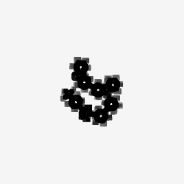 CC(C)(C)c1ccc(-c2nc(-c3cccc(-c4cccc(-n5c6ccccc6c6cc(-c7ccc8oc9ccccc9c8c7)ccc65)c4)c3)ns2)cc1